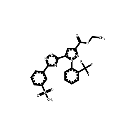 CCOC(=O)c1cc(-c2nc(-c3cccc(S(C)(=O)=O)c3)no2)n(-c2ccccc2C(F)(F)F)n1